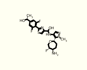 C[C@@H](O)c1cc(F)c(-c2nc(C(O)Nc3cnn(C)c3[C@@H]3CC[C@@H](N)[C@H](F)CO3)cs2)c(F)c1